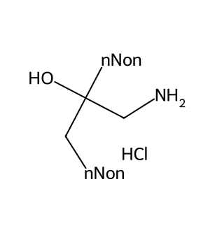 CCCCCCCCCCC(O)(CN)CCCCCCCCC.Cl